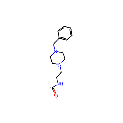 O=[C]NCCN1CCN(Cc2ccccc2)CC1